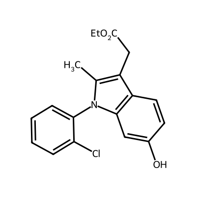 CCOC(=O)Cc1c(C)n(-c2ccccc2Cl)c2cc(O)ccc12